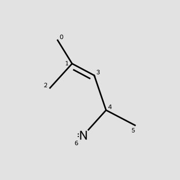 CC(C)=CC(C)[N]